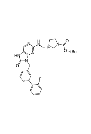 CC(C)(C)OC(=O)N1CC[C@@H](CNc2ncc3[nH]c(=O)n(Cc4cccc(-c5ccccc5F)c4)c3n2)C1